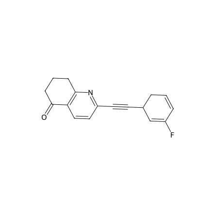 O=C1CCCc2nc(C#CC3C=C(F)C=CC3)ccc21